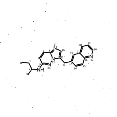 CCC(C)Nc1ccc2ncc(Cc3ccc4ncccc4c3)n2n1